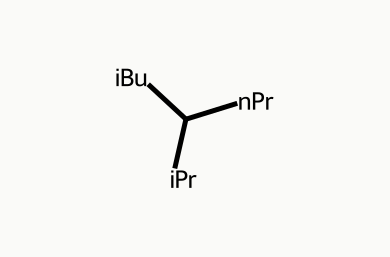 [CH2]C(C)C(CCC)C(C)CC